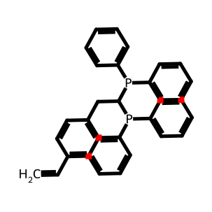 C=Cc1ccc(CC(P(c2ccccc2)c2ccccc2)P(c2ccccc2)c2ccccc2)cc1